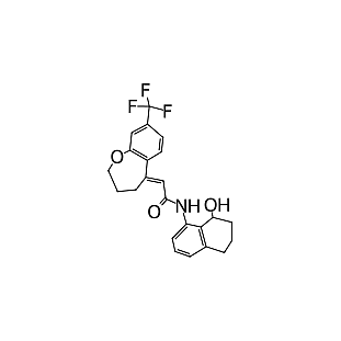 O=C(/C=C1\CCCOc2cc(C(F)(F)F)ccc21)Nc1cccc2c1C(O)CCC2